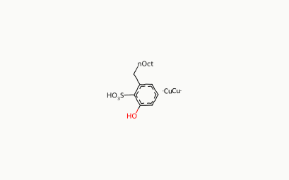 CCCCCCCCCc1cccc(O)c1S(=O)(=O)O.[Cu].[Cu]